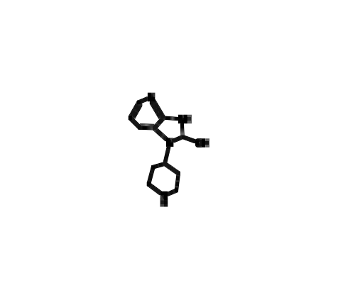 OC1Nc2ncccc2N1C1CCNCC1